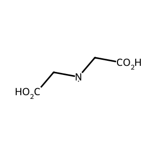 O=C(O)C[N]CC(=O)O